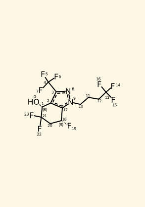 O[C@@H]1c2c(C(F)(F)F)nn(CCCC(F)(F)F)c2[C@H](F)CC1(F)F